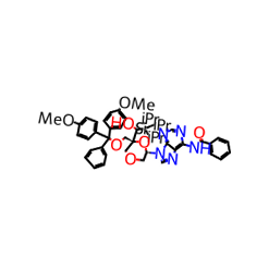 COc1ccc(C(OC[C@]2(C(O)[Si](C(C)C)(C(C)C)C(C)C)COC[C@H](n3cnc4c(NC(=O)c5ccccc5)ncnc43)O2)(c2ccccc2)c2ccc(OC)cc2)cc1